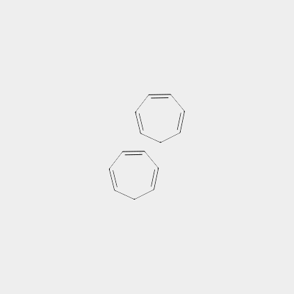 C1=CC=CCC=C1.C1=CC=CCC=C1